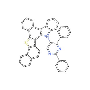 c1ccc(-c2ncc(-n3c4ccccc4c4c5ccccc5c5sc6c7ccccc7ccc6c5c43)c(-c3ccccc3)n2)cc1